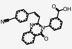 N#Cc1ccc(/C=C\c2nc3ccccc3c(=O)n2-c2cccc(C(=O)O)c2)cc1